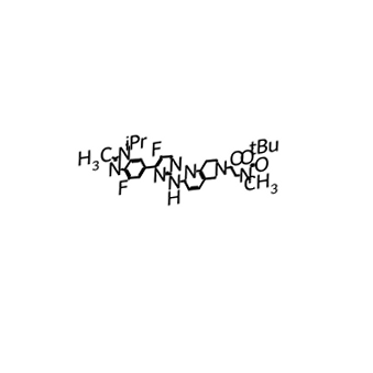 Cc1nc2c(F)cc(-c3nc(Nc4ccc5c(n4)CCN(C(=O)CN(C)C(=O)OC(C)(C)C)C5)ncc3F)cc2n1C(C)C